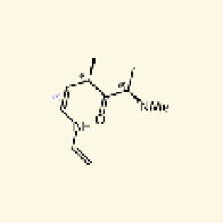 C=CN/C=C\[C@@H](C)C(=O)[C@@H](C)NC